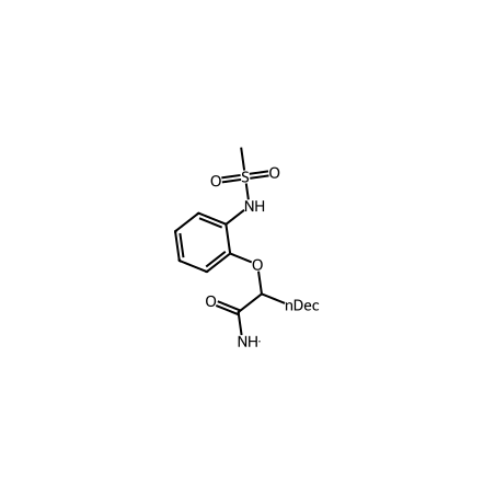 CCCCCCCCCCC(Oc1ccccc1NS(C)(=O)=O)C([NH])=O